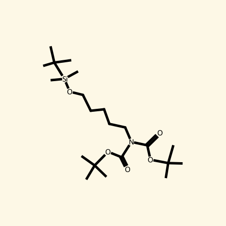 CC(C)(C)OC(=O)N(CCCCCO[Si](C)(C)C(C)(C)C)C(=O)OC(C)(C)C